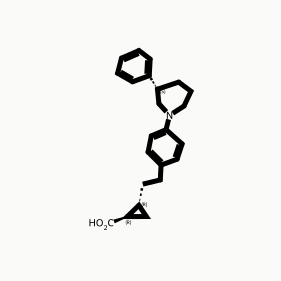 O=C(O)[C@@H]1C[C@H]1CCc1ccc(N2CCC[C@@H](c3ccccc3)C2)cc1